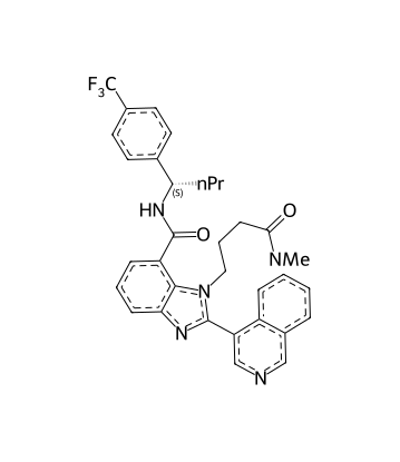 CCC[C@H](NC(=O)c1cccc2nc(-c3cncc4ccccc34)n(CCCC(=O)NC)c12)c1ccc(C(F)(F)F)cc1